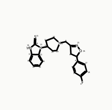 Fc1ccc(C2CC(CN3CCC(n4c(=S)[nH]c5ccccc54)CC3)=NO2)cc1